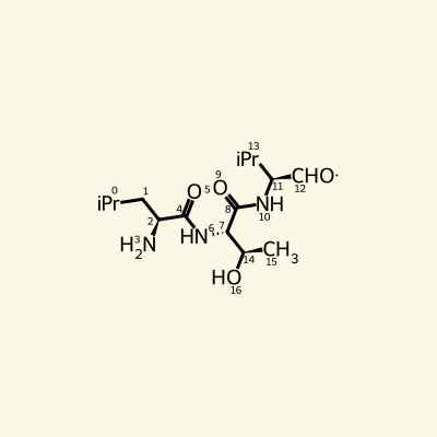 CC(C)C[C@H](N)C(=O)N[C@H](C(=O)N[C@H]([C]=O)C(C)C)[C@@H](C)O